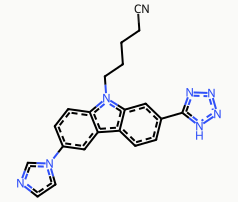 N#CCCCCn1c2ccc(-n3ccnc3)cc2c2ccc(-c3nnn[nH]3)cc21